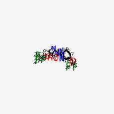 Cc1cnc(CC(O)c2nc3cc(OC(F)F)ccc3[nH]2)c(C)c1OCC(F)(F)F